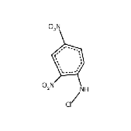 O=[N+]([O-])c1ccc(NCl)c([N+](=O)[O-])c1